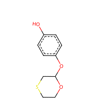 Oc1ccc(OC2CSCCO2)cc1